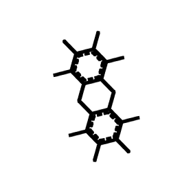 Cc1c(C)c(C)c2c(c1C)Cc1c(C)c(C)c(C)c(C)c1C2